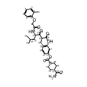 Cc1ccccc1OCC(=O)NC(CC(C)C)C(=O)C(Cc1ccc(OC(=O)N2CCC(C(N)=O)CC2)cc1)C(=O)O